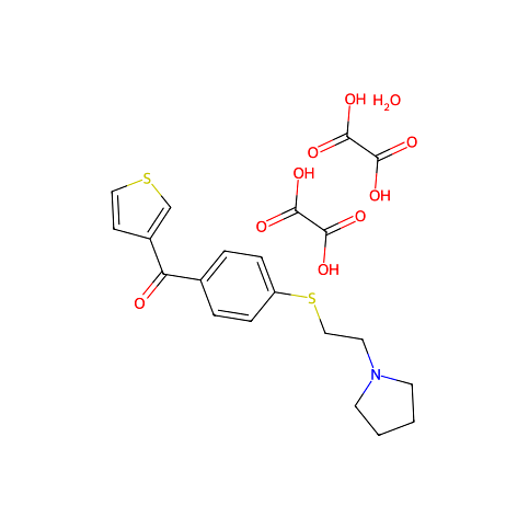 O.O=C(O)C(=O)O.O=C(O)C(=O)O.O=C(c1ccc(SCCN2CCCC2)cc1)c1ccsc1